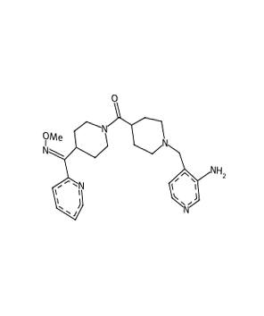 CON=C(c1ccccn1)C1CCN(C(=O)C2CCN(Cc3ccncc3N)CC2)CC1